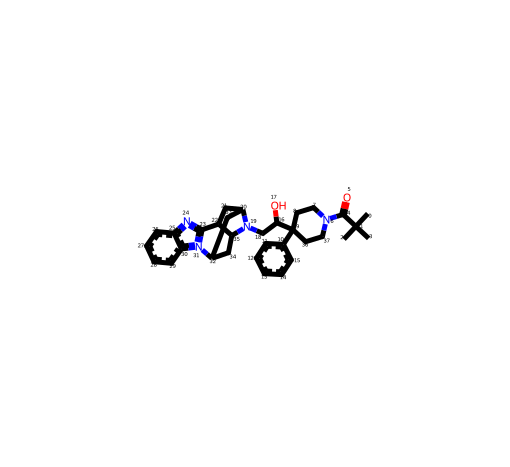 CC(C)(C)C(=O)N1CCC(c2ccccc2)(C(O)CN2C3CC4c5nc6ccccc6n5C(C3)CC42)CC1